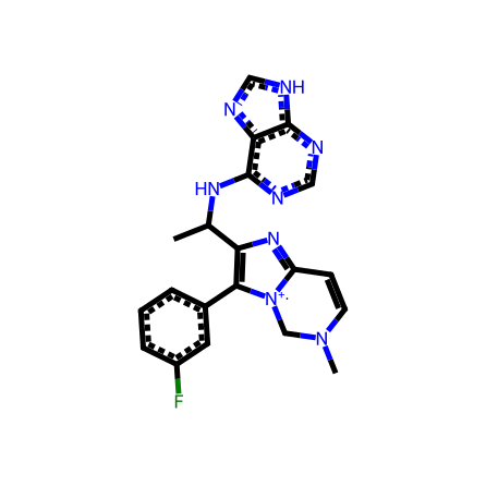 CC(Nc1ncnc2[nH]cnc12)C1=C(c2cccc(F)c2)[N+]2CN(C)C=CC2=N1